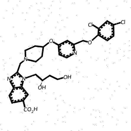 O=C(O)c1ccc2nc(CN3CCC(Oc4ccnc(COc5ccc(Cl)cc5Cl)c4)CC3)n(C[C@@H](O)CCO)c2c1